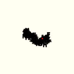 CC(C)c1cc(F)cc(C(C)C)c1NC(=O)NS(=O)(=O)c1cnc(CC(C)c2cccc(C(C)C)c2NC(=O)NS(=O)(=O)c2cnccn2)cn1